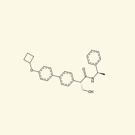 C[C@@H](NC(=O)[C@H](CO)c1ccc(-c2ccc(OC3CCC3)cc2)cc1)c1ccccc1